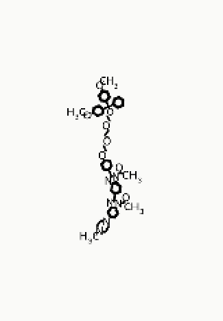 COc1ccc(C(OCCOCCOCCOc2ccc(-c3nc4cc(-c5nc6cc(N7CCN(C)CC7)ccc6n5C(C)=O)ccc4n3C(C)=O)cc2)(c2ccccc2)c2ccc(OC)cc2)cc1